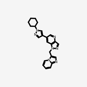 c1ccn2c(Cn3ncc4ncc(-c5cnn(C6CCCCC6)c5)cc43)cnc2c1